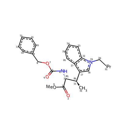 COC(=O)[C@H](NC(=O)OCc1ccccc1)[C@H](C)c1cn(CC(C)C)c2ccccc12